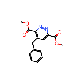 COC(=O)c1cc(Cc2ccccc2)c(C(=O)OC)nn1